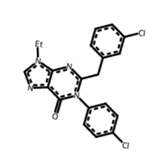 CCn1cnc2c(=O)n(-c3ccc(Cl)cc3)c(Cc3cccc(Cl)c3)nc21